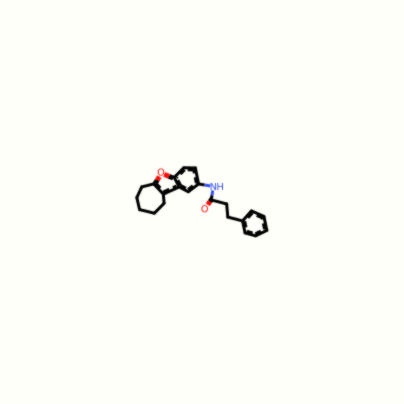 O=C(CCc1ccccc1)Nc1ccc2oc3c(c2c1)CCCCC3